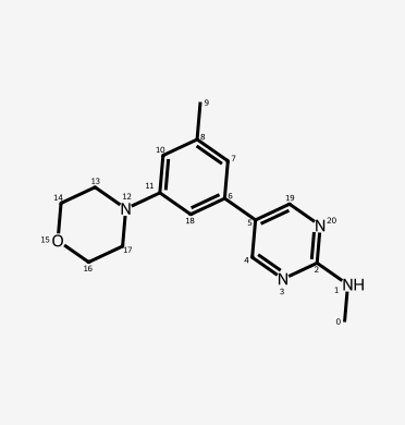 CNc1ncc(-c2cc(C)cc(N3CCOCC3)c2)cn1